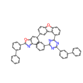 c1ccc(-c2cccc(-c3nc(-c4ccccc4)nc(-c4cccc5oc6ccc(-c7ccc8nc(-c9cccc(-c%10ccccc%10)c9)oc8c7)cc6c45)n3)c2)cc1